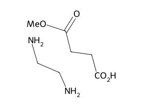 COC(=O)CCC(=O)O.NCCN